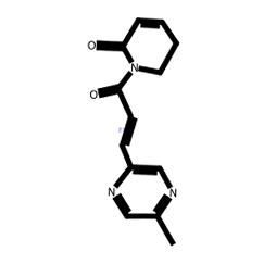 Cc1cnc(/C=C/C(=O)N2CCC=CC2=O)cn1